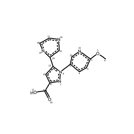 COc1ccc(-n2nc(C(=O)O)cc2-c2cnccn2)cn1